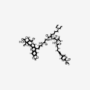 CCN(CC)CCCCC(NC(=O)C(NC(=O)CCCC#Cc1cnc(S(C)(=O)=O)nc1)C(C)C)C(=O)NCC(=O)NC/C=C/c1c2c(nc3cc4c(cc13)OCO4)-c1cc3c(c(=O)n1C2)COC(=O)[C@]3(O)CC